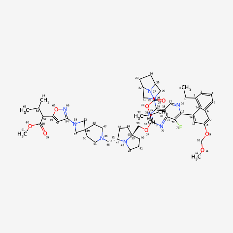 CCc1cccc2cc(OCOC)cc(-c3ncc4c(N5CC6CCC(C5)N6C(=O)OC(C)(C)C)nc(OC[C@@]56CCCN5[C@H](CN5CCC7(CC5)CN(c5cc(C(C(=O)OC)C(C)C)on5)C7)CC6)nc4c3F)c12